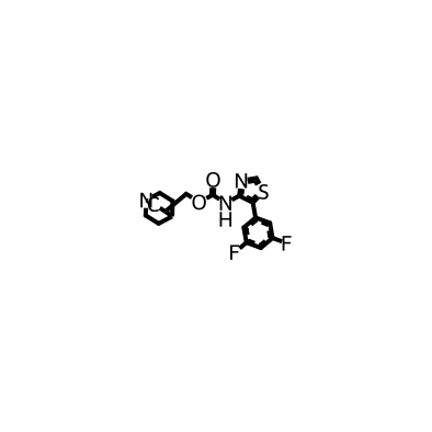 O=C(Nc1ncsc1-c1cc(F)cc(F)c1)OCC1CN2CCC1CC2